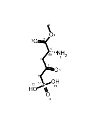 COC(=O)[C@H](N)CC(=O)CP(=O)(O)O